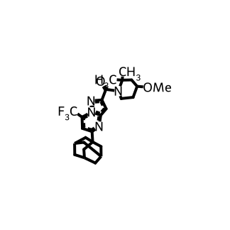 COC1CCN(C(=O)c2cc3nc(C45CC6CC(CC(C6)C4)C5)cc(C(F)(F)F)n3n2)C(C)(C)C1